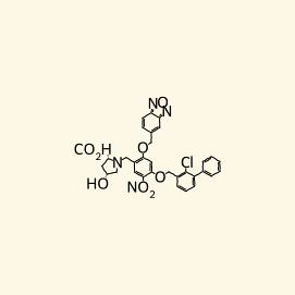 O=C(O)[C@H]1C[C@@H](O)CN1Cc1cc([N+](=O)[O-])c(OCc2cccc(-c3ccccc3)c2Cl)cc1OCc1ccc2nonc2c1